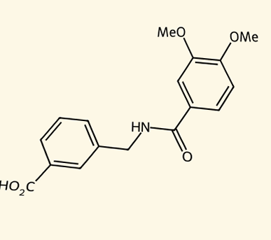 COc1ccc(C(=O)NCc2cccc(C(=O)O)c2)cc1OC